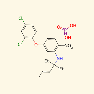 CC=CC(CC)(CC)Nc1cc(Oc2ccc(Cl)cc2Cl)ccc1[N+](=O)[O-].O=[PH](O)O